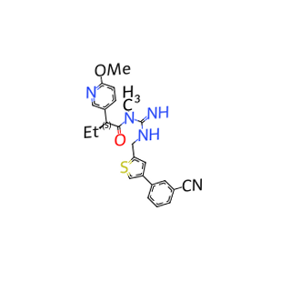 CC[C@H](C(=O)N(C)C(=N)NCc1cc(-c2cccc(C#N)c2)cs1)c1ccc(OC)nc1